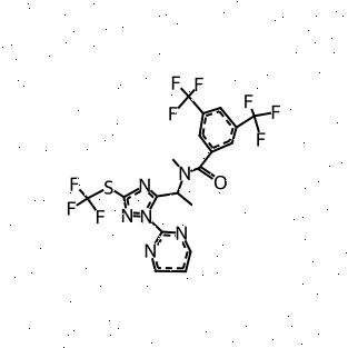 CC(c1nc(SC(F)(F)F)nn1-c1ncccn1)N(C)C(=O)c1cc(C(F)(F)F)cc(C(F)(F)F)c1